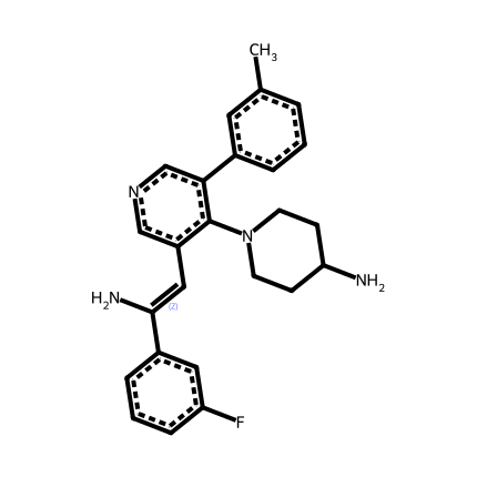 Cc1cccc(-c2cncc(/C=C(\N)c3cccc(F)c3)c2N2CCC(N)CC2)c1